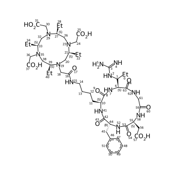 CCC(NC(=N)N)[C@@H]1NC(=O)[C@H](CCCCNC(=O)CN2C[C@H](CC)N(CC(=O)O)C[C@H](CC)N(CC(=O)O)C[C@H](CC)N(CC(=O)O)C[C@@H]2CC)NC(=O)[C@@H](Cc2ccccc2)NC(=O)[C@H](CC(=O)O)NC(=O)CNC1=O